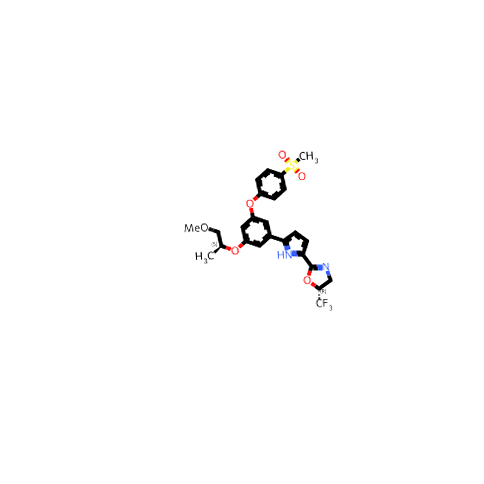 COC[C@H](C)Oc1cc(Oc2ccc(S(C)(=O)=O)cc2)cc(-c2ccc(C3=NC[C@H](C(F)(F)F)O3)[nH]2)c1